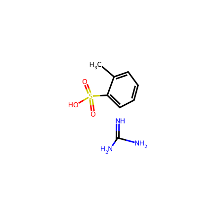 Cc1ccccc1S(=O)(=O)O.N=C(N)N